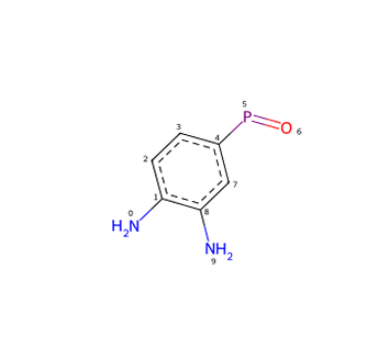 Nc1ccc(P=O)cc1N